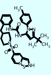 Cc1ccc(-n2nc(C(C)(C)C)cc2NC(=O)Nc2ccccc2CC2CCN(S(=O)(=O)C3=CC4=CNSN4C=C3)CC2)cc1